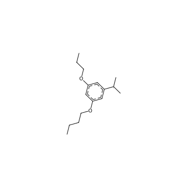 CCCCOc1cc(OCCC)cc([C](C)C)c1